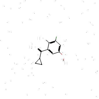 C=C(c1cc(OC)cc(Cl)c1C)C1CC1